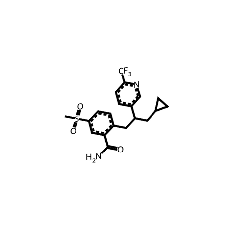 CS(=O)(=O)c1ccc(CC(CC2CC2)c2ccc(C(F)(F)F)nc2)c(C(N)=O)c1